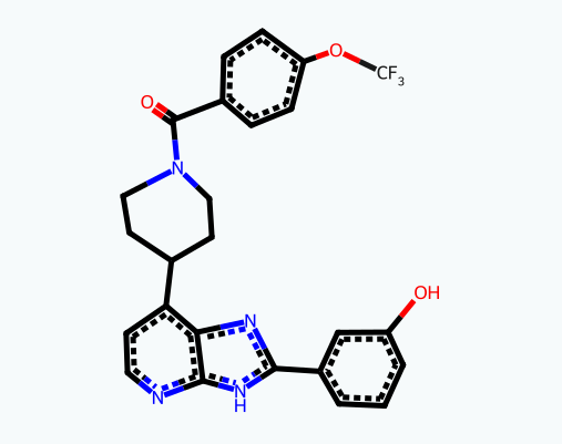 O=C(c1ccc(OC(F)(F)F)cc1)N1CCC(c2ccnc3[nH]c(-c4cccc(O)c4)nc23)CC1